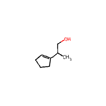 CC(CO)C1=CCCC1